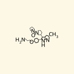 Cc1cnc2[nH]c(-c3ccc(OCCCN)cc3)c(C3CCCN(C(=O)N4CCCC4)C3)c2c1